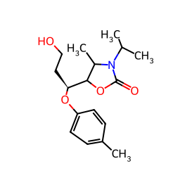 Cc1ccc(O[C@@H](CCO)C2OC(=O)N(C(C)C)C2C)cc1